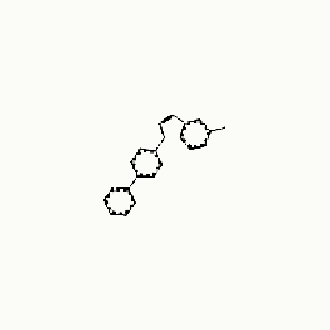 Cc1ccc2c(c1)C=CC2c1ccc(-c2ccccc2)cc1